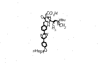 C=NN(/C=C(\C)C(=O)N[C@@H](Cc1ccc(-c2ncc(-c3ccc(OCCCCCCC)cc3)cn2)cc1)C(=O)NCC(=O)O)C(C)(C)C